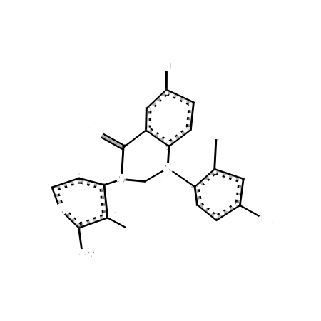 COc1nccc(N2CN(c3ccc(F)cc3C)c3ccc(C(F)(F)F)cc3C2=O)c1C